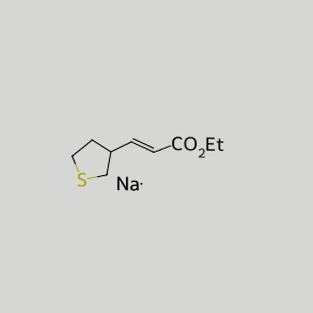 CCOC(=O)C=CC1CCSC1.[Na]